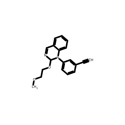 C#Cc1cccc(N2c3ccccc3C=NC2OCCOC)c1